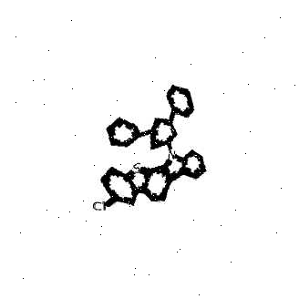 Clc1ccc2sc3c(ccc4c5ccccc5n(-c5cc(-c6ccccc6)cc(-c6ccccc6)c5)c43)c2c1